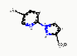 CCOC(=O)c1ccn(-c2ccc(OC(C)=O)cn2)n1